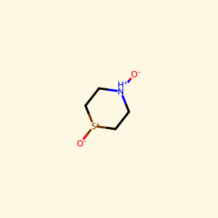 [O-][NH+]1CC[S+]([O-])CC1